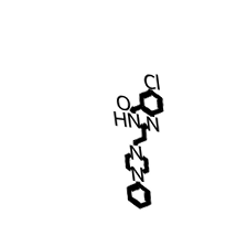 O=c1[nH]c(CCN2CCN(c3ccccc3)CC2)nc2ccc(Cl)cc12